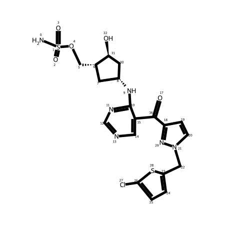 NS(=O)(=O)OC[C@H]1C[C@@H](Nc2ncncc2C(=O)c2ccn(Cc3ccc(Cl)s3)n2)C[C@@H]1O